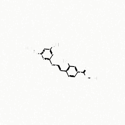 COC(=O)c1ccc(C=CCc2cc(C)cc(OC)c2)c(Br)c1